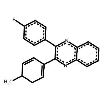 CC1C=CC(c2nc3ccccc3nc2-c2ccc(F)cc2)=CC1